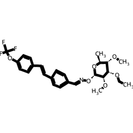 CCO[C@@H]1[C@H](OC)[C@H](ON=Cc2ccc(C=Cc3ccc(OC(F)(F)F)cc3)cc2)O[C@@H](C)[C@@H]1OC